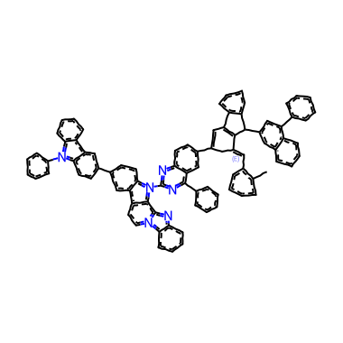 Cc1ccccc1/C=C1\CC(c2ccc3nc(-n4c5ccc(-c6ccc7c(c6)c6ccccc6n7-c6ccccc6)cc5c5ccn6c7ccccc7nc6c54)nc(-c4ccccc4)c3c2)=CC2=C1C(c1cc(-c3ccccc3)c3ccccc3c1)c1ccccc12